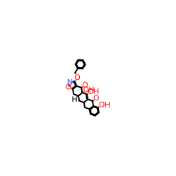 O=C1C2=C(O)[C@]3(O)C(=O)c4c(OCc5ccccc5)noc4C[C@@H]3CC2Cc2cccc(O)c21